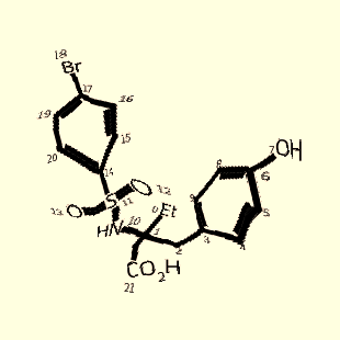 CCC(Cc1ccc(O)cc1)(NS(=O)(=O)c1ccc(Br)cc1)C(=O)O